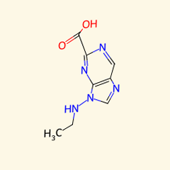 CCNn1cnc2cnc(C(=O)O)nc21